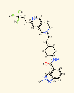 Cn1cc2c(C(=O)N[C@H]3CC[C@H](CCN4CCc5cnc(CCC(F)(F)F)cc5C4)CC3)cccc2n1